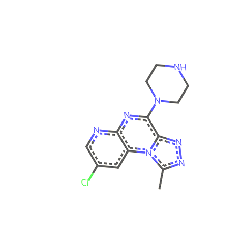 Cc1nnc2c(N3CCNCC3)nc3ncc(Cl)cc3n12